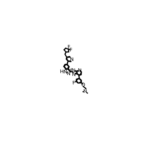 CN(C)CCOc1cc(F)cc(-c2ccnc3[nH]c(-c4n[nH]c5ccc(-c6cncc(CC7CCC(F)(F)C7)c6)cc45)nc23)c1